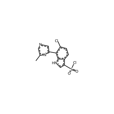 Cc1cncc(-c2c(Cl)ccc3c(S(=O)(=O)Cl)c[nH]c23)n1